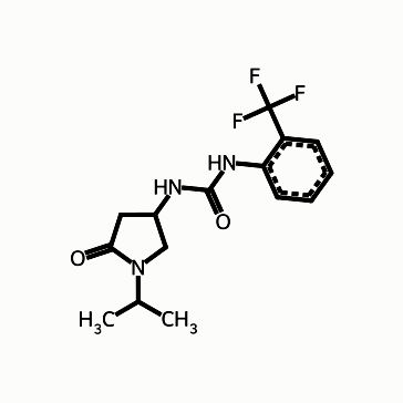 CC(C)N1CC(NC(=O)Nc2ccccc2C(F)(F)F)CC1=O